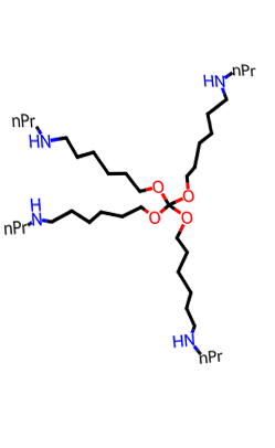 CCCNCCCCCCOC(OCCCCCCNCCC)(OCCCCCCNCCC)OCCCCCCNCCC